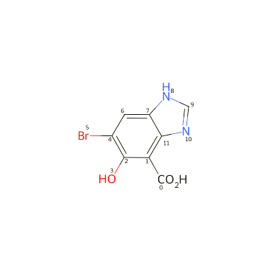 O=C(O)c1c(O)c(Br)cc2[nH]cnc12